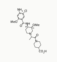 COc1cc(N)c(Cl)cc1C(=O)N[C@@H]1CCN(C(C)C(=O)N2CCC(C(=O)O)CC2)C[C@@H]1OC